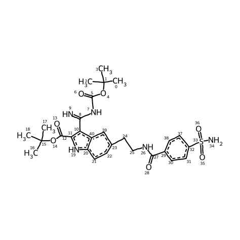 CC(C)(C)OC(=O)NC(=N)c1c(C(=O)OC(C)(C)C)[nH]c2ccc(CCNC(=O)c3ccc(S(N)(=O)=O)cc3)cc12